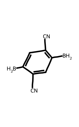 Bc1cc(C#N)c(B)cc1C#N